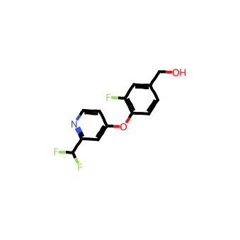 OCc1ccc(Oc2ccnc(C(F)F)c2)c(F)c1